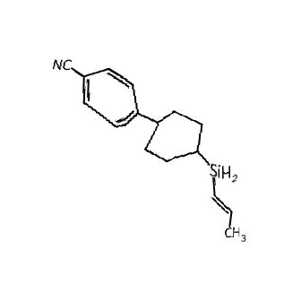 C/C=C/[SiH2]C1CCC(c2ccc(C#N)cc2)CC1